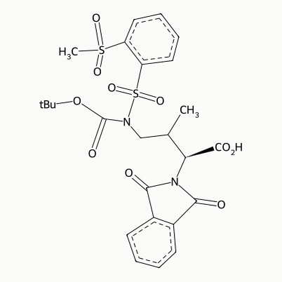 CC(CN(C(=O)OC(C)(C)C)S(=O)(=O)c1ccccc1S(C)(=O)=O)[C@@H](C(=O)O)N1C(=O)c2ccccc2C1=O